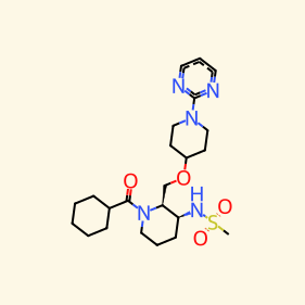 CS(=O)(=O)N[C@H]1CCCN(C(=O)C2CCCCC2)[C@H]1COC1CCN(c2ncccn2)CC1